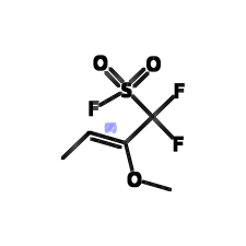 C/C=C(\OC)C(F)(F)S(=O)(=O)F